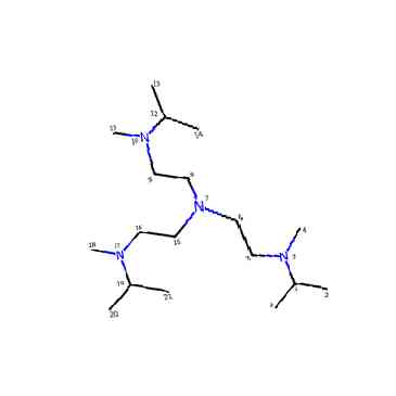 CC(C)N(C)CCN(CCN(C)C(C)C)CCN(C)C(C)C